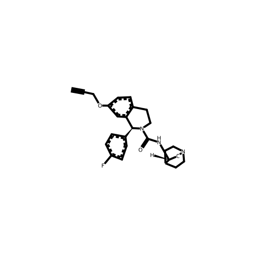 C#CCOc1ccc2c(c1)[C@H](c1ccc(F)cc1)N(C(=O)N[C@@H]1CN3CCC1CC3)CC2